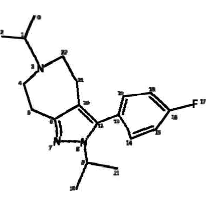 CC(C)N1CCc2nn(C(C)C)c(-c3ccc(F)cc3)c2CC1